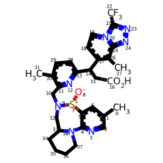 Cc1cnc2c(c1)[S+]([O-])N(Cc1nc(C(CC(=O)O)c3ccn4c(C(F)(F)F)nnc4c3C)ccc1C)CC1CCCCN21